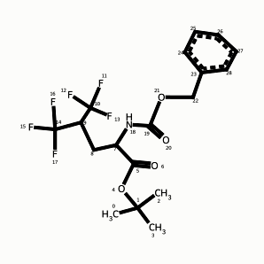 CC(C)(C)OC(=O)C(CC(C(F)(F)F)C(F)(F)F)NC(=O)OCc1ccccc1